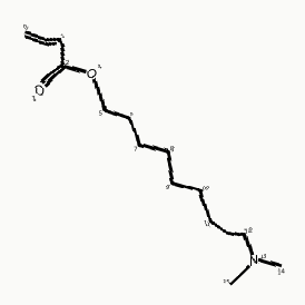 C=CC(=O)OCCCCCCCCN(C)C